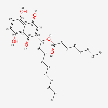 CCCCCCCCCC(OC(=O)CCCCCCC)C1=CC(=O)c2c(O)ccc(O)c2C1=O